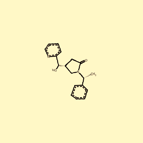 C[C@H](c1ccccc1)N1C[C@H](C(O)c2ccccn2)CC1=O